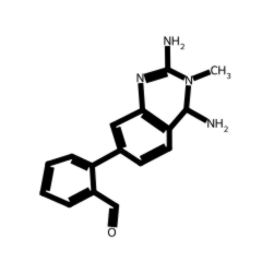 CN1C(N)=Nc2cc(-c3ccccc3C=O)ccc2C1N